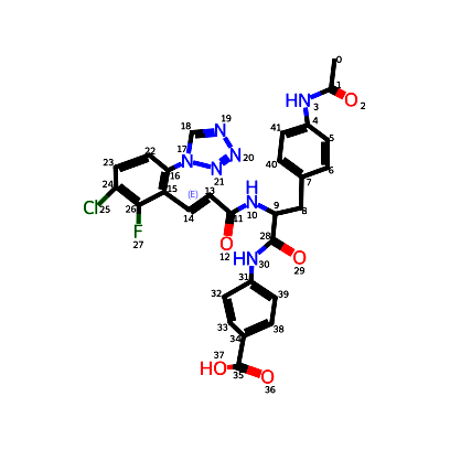 CC(=O)Nc1ccc(CC(NC(=O)/C=C/c2c(-n3cnnn3)ccc(Cl)c2F)C(=O)Nc2ccc(C(=O)O)cc2)cc1